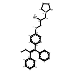 CCC(=C(c1ccccc1)c1ccc(OCC(O)CN2CCCC2)cc1)c1ccccc1